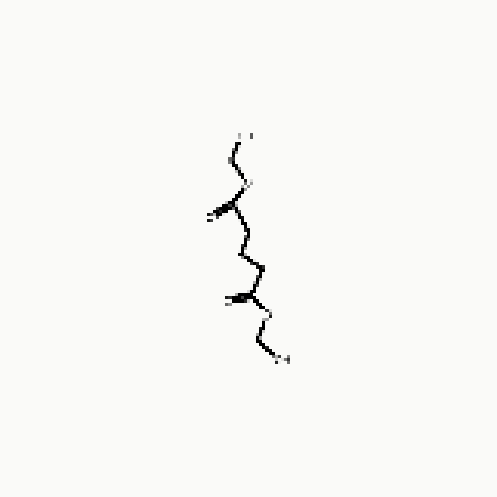 O=C(CCCC(=O)OCO)OCO